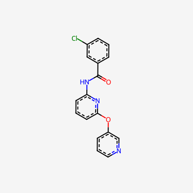 O=C(Nc1cccc(Oc2cccnc2)n1)c1cccc(Cl)c1